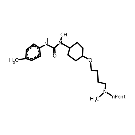 CCCCCN(C)CCCCOC1CCC(N(C)C(=O)Nc2ccc(C)cc2)CC1